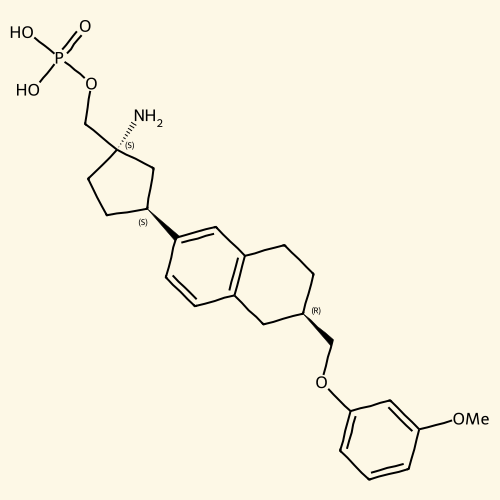 COc1cccc(OC[C@@H]2CCc3cc([C@H]4CC[C@@](N)(COP(=O)(O)O)C4)ccc3C2)c1